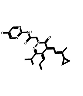 CC\C=c1/c(C(C)C)nn(CC(=O)Nc2ncc(F)cn2)c(=O)/c1=C/C=C(\C)C1CC1